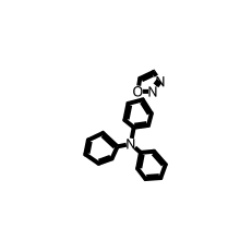 c1ccc(N(c2ccccc2)c2ccccc2)cc1.c1conn1